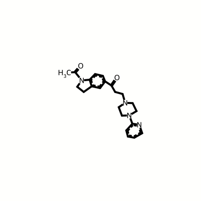 CC(=O)N1CCc2cc(C(=O)CCN3CCN(c4ccccn4)CC3)ccc21